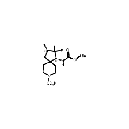 C[C@@H]1CC2(CCN(C(=O)O)CC2)[C@H](NC(=O)OC(C)(C)C)C1(F)F